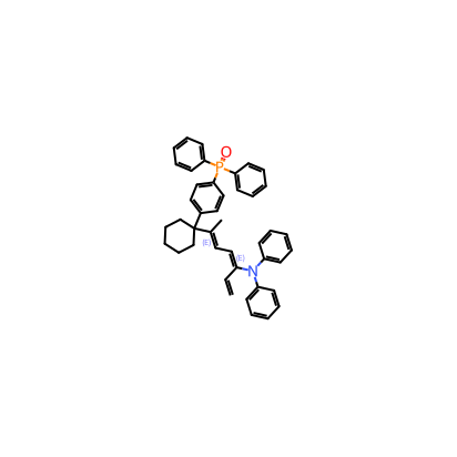 C=C/C(=C\C=C(/C)C1(c2ccc(P(=O)(c3ccccc3)c3ccccc3)cc2)CCCCC1)N(c1ccccc1)c1ccccc1